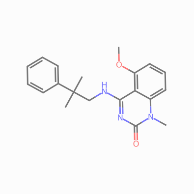 COc1cccc2c1c(NCC(C)(C)c1ccccc1)nc(=O)n2C